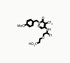 CCC(COCCC(=O)O)Nc1cnn(Cc2ccc(OC)cc2)c(=O)c1C(F)(F)F